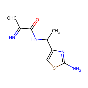 CC(NC(=O)C(=N)C=O)c1csc(N)n1